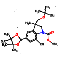 CC(C)(C)OC(=O)N1CC(C)(CO[Si](C)(C)C(C)(C)C)c2cc(B3OC(C)(C)C(C)(C)O3)cc(C#N)c21